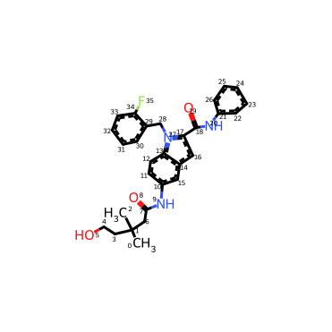 CC(C)(CCO)CC(=O)Nc1ccc2c(c1)cc(C(=O)Nc1ccccc1)n2Cc1ccccc1F